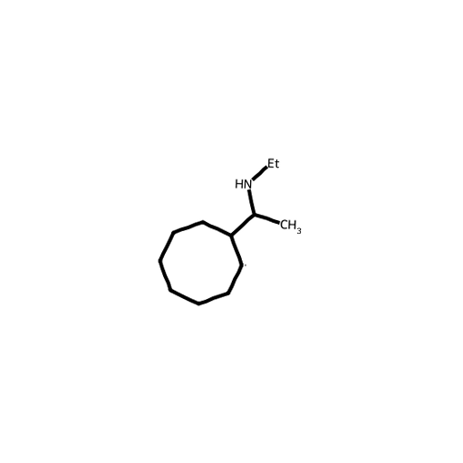 CCNC(C)C1[CH]CCCCCC1